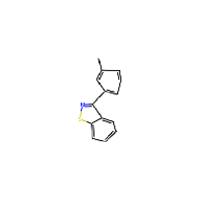 Cc1cccc(-c2nsc3ccccc23)c1